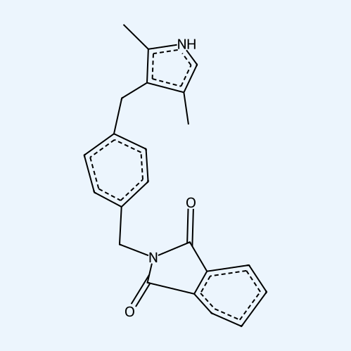 Cc1c[nH]c(C)c1Cc1ccc(CN2C(=O)c3ccccc3C2=O)cc1